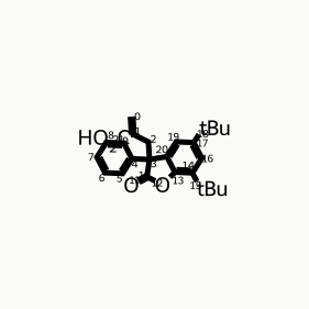 C=C(CC1(c2ccccc2)C(=O)Oc2c(C(C)(C)C)cc(C(C)(C)C)cc21)C(=O)O